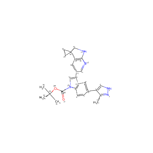 Cc1n[nH]cc1-c1ccc2c(c1)c(-c1cnc3c(c1)C1(CC1)CN3)cn2C(=O)OC(C)(C)C